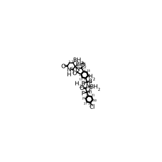 BC1CC(=O)NC(=O)[C@@]1(B)N1Cc2cc(C(B)(B)N(B)C(=O)C(F)(F)c3ccc(Cl)cc3)ccc2C1=O